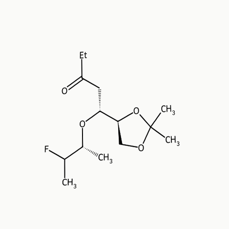 CCC(=O)C[C@@H](O[C@H](C)C(C)F)[C@@H]1COC(C)(C)O1